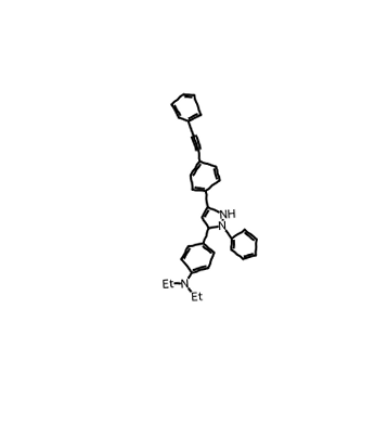 CCN(CC)c1ccc(C2C=C(c3ccc(C#Cc4ccccc4)cc3)NN2c2ccccc2)cc1